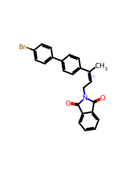 C/C(=C/CN1C(=O)c2ccccc2C1=O)c1ccc(-c2ccc(Br)cc2)cc1